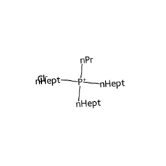 CCCCCCC[P+](CCC)(CCCCCCC)CCCCCCC.[Cl-]